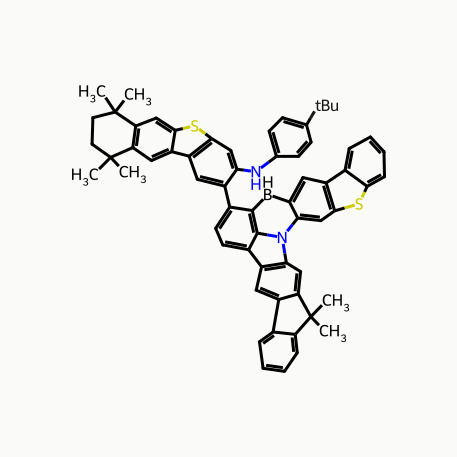 CC(C)(C)c1ccc(Nc2cc3sc4cc5c(cc4c3cc2-c2ccc3c4cc6c(cc4n4c3c2Bc2cc3c(cc2-4)sc2ccccc23)C(C)(C)c2ccccc2-6)C(C)(C)CCC5(C)C)cc1